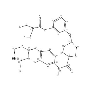 CCN(CC)C(=O)Cc1cccc(OC2CCC(C(=O)N(C)c3ccc(CN4CCN[C@@H](C)C4)c(C)c3)CC2)c1